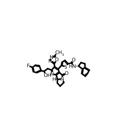 Cc1nnc(-c2c(CC(O)c3ccc(F)cc3)nc3c(c2-c2ccc(C(=O)N[C@@H]4CCc5ccccc54)s2)C(=O)N2CCC[C@@H]32)o1